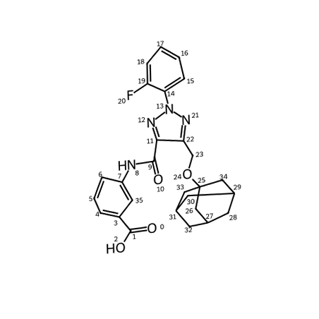 O=C(O)c1cccc(NC(=O)c2nn(-c3ccccc3F)nc2COC23CC4CC(CC(C4)C2)C3)c1